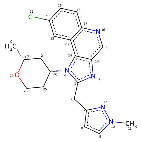 C[C@@H]1C[C@H](n2c(Cc3ccn(C)n3)nc3cnc4ccc(Cl)cc4c32)CCO1